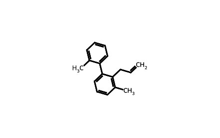 C=CCc1c(C)cccc1-c1ccccc1C